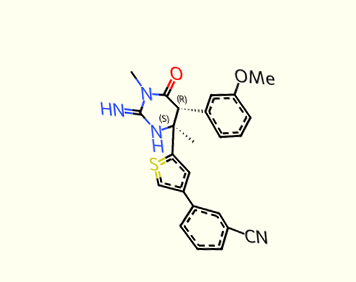 COc1cccc([C@H]2C(=O)N(C)C(=N)N[C@]2(C)c2cc(-c3cccc(C#N)c3)cs2)c1